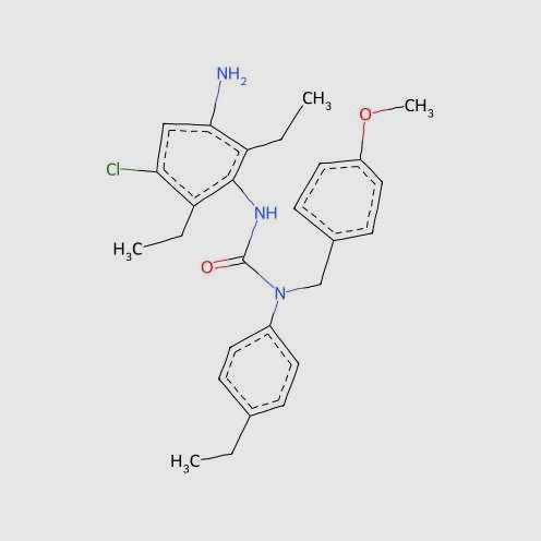 CCc1ccc(N(Cc2ccc(OC)cc2)C(=O)Nc2c(CC)c(N)cc(Cl)c2CC)cc1